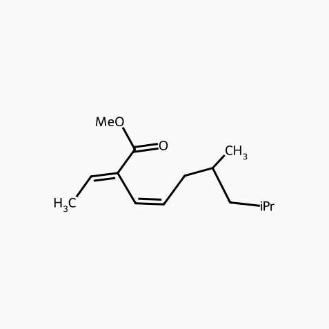 C/C=C(\C=C/CC(C)CC(C)C)C(=O)OC